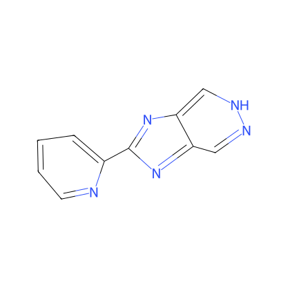 c1ccc(-c2nc3cn[nH]cc-3n2)nc1